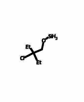 CCC(Cl)(CC)CO[SiH3]